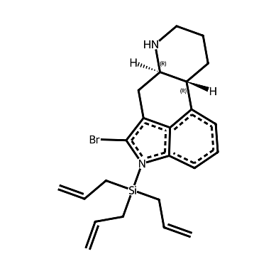 C=CC[Si](CC=C)(CC=C)n1c(Br)c2c3c(cccc31)[C@H]1CCCN[C@@H]1C2